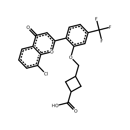 O=C(O)C1CC(COc2cc(C(F)(F)F)ccc2-c2cc(=O)c3cccc(Cl)c3o2)C1